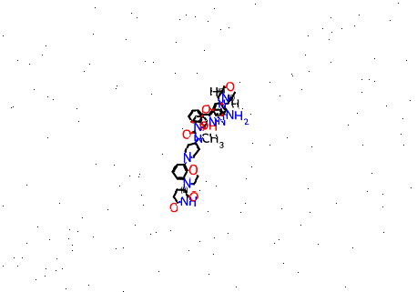 CN(C(=O)N1CCC(Oc2cccc(N3[C@@H]4COC[C@H]3CN(c3cc(-c5ccccc5O)nnc3N)C4)c2)CC1)C1CCN(c2cccc3c2OCCN3[C@H]2CCC(=O)NC2=O)CC1